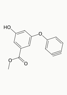 COC(=O)c1cc(O)cc(Oc2cc#ccc2)c1